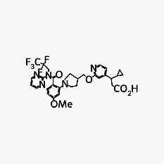 COc1ccc(C(=O)N(CC(F)(F)C(F)(F)F)c2ncccn2)c(N2CCC(COc3cc(C(CC(=O)O)C4CC4)ccn3)CC2)c1